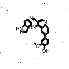 COc1cc(-c2ccc3ncc(C#N)c(Nc4cccc5[nH]ncc45)c3c2)ccc1O